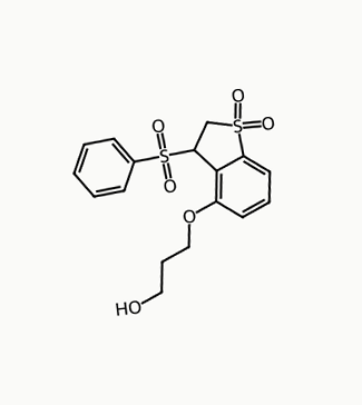 O=S1(=O)CC(S(=O)(=O)c2ccccc2)c2c(OCCCO)cccc21